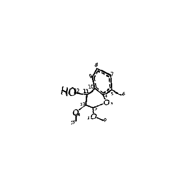 COC1Oc2c(C)cccc2C(O)C1OC